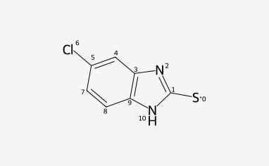 [S]c1nc2cc(Cl)ccc2[nH]1